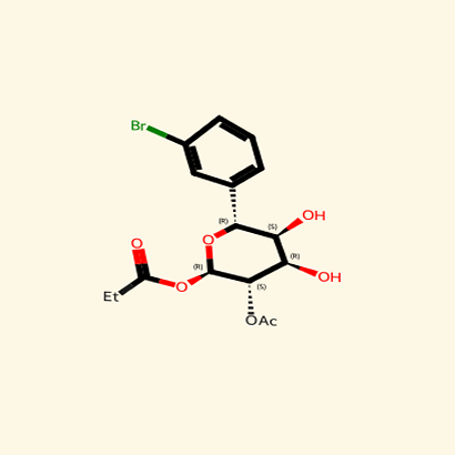 CCC(=O)O[C@H]1O[C@H](c2cccc(Br)c2)[C@@H](O)[C@@H](O)[C@@H]1OC(C)=O